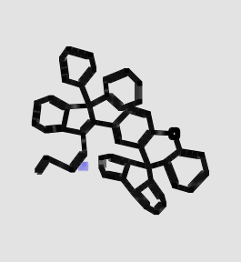 C=C/C=C\C1=C(c2ccc3c(c2)C2(c4ccccc4O3)c3ccccc3-c3ccccc32)C(c2ccccc2)(c2ccccc2)c2ccccc21